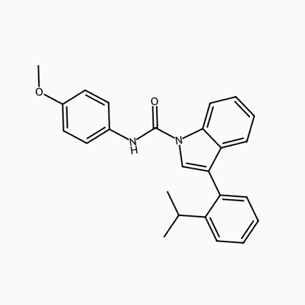 COc1ccc(NC(=O)n2cc(-c3ccccc3C(C)C)c3ccccc32)cc1